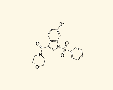 O=C(c1cn(S(=O)(=O)c2ccccc2)c2cc(Br)ccc12)N1CCOCC1